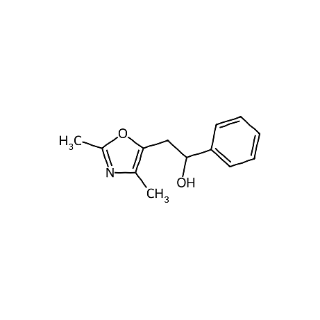 Cc1nc(C)c(CC(O)c2ccccc2)o1